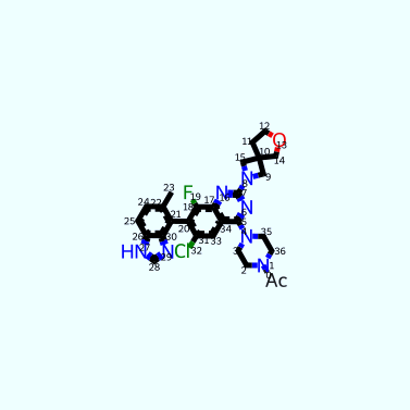 CC(=O)N1CCN(c2nc(N3CC4(CCOC4)C3)nc3c(F)c(-c4c(C)ccc5[nH]cnc45)c(Cl)cc23)CC1